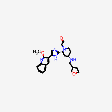 COc1nc2ccccc2cc1-c1cnc([C@@H]2C[C@@H](NCC3CCOC3)CCN2CC=O)[nH]1